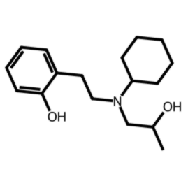 CC(O)CN(CCc1ccccc1O)C1CCCCC1